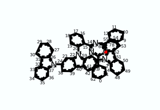 c1ccc(-c2nc(-c3ccccc3)nc(-c3ccccc3-n3c4cc(-n5c6ccccc6c6ccccc65)ccc4c4ccc(-n5c6ccccc6c6ccccc65)cc43)n2)cc1